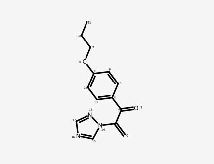 C=C(C(=O)c1ccc(OCCC)cc1)n1cncn1